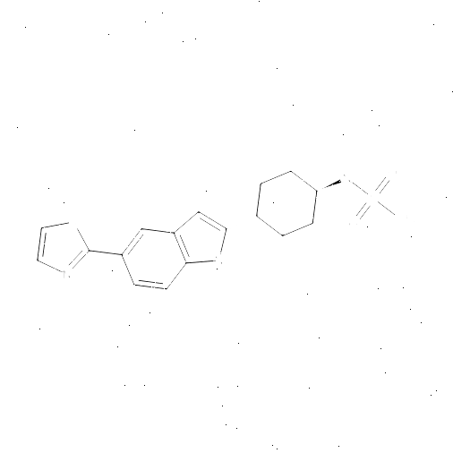 CC(C)(C)S(=O)(=O)N[C@H]1CC[C@H](c2cc3cc(-c4nccs4)ccc3[nH]2)CC1